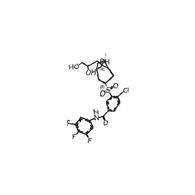 C[C@H]1CC2C[C@@H](S(=O)(=O)c3cc(C(=O)Nc4cc(F)c(F)c(F)c4)ccc3Cl)CC1[C@@]2(O)CC(O)CO